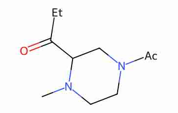 CCC(=O)C1CN(C(C)=O)CCN1C